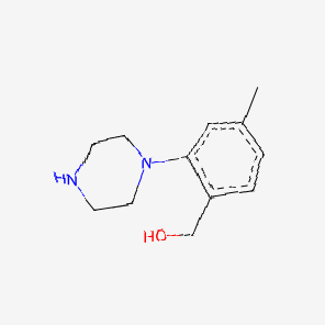 Cc1ccc(CO)c(N2CCNCC2)c1